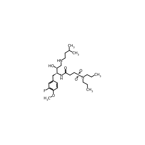 CCCN(CCC)S(=O)(=O)CCC(=O)N[C@@H](Cc1ccc(OC)c(F)c1)[C@@H](O)CNCCC(C)C